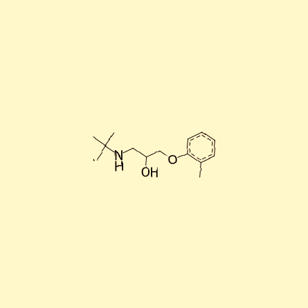 [CH2]C(C)(C)NCC(O)COc1ccccc1C